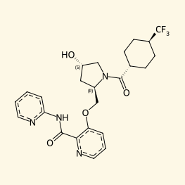 O=C(Nc1ccccn1)c1ncccc1OC[C@H]1C[C@H](O)CN1C(=O)[C@H]1CC[C@H](C(F)(F)F)CC1